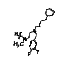 CN(C)CCN(C[CH]CCc1ccccc1)Cc1ccc(F)c(F)c1